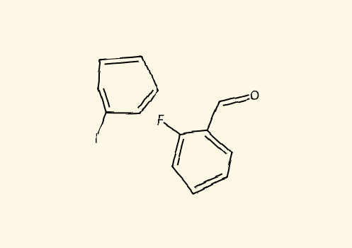 Ic1ccccc1.O=Cc1ccccc1F